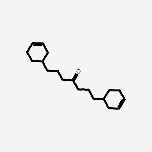 O=C(CCCC1CC=CCC1)CCCC1CC=CCC1